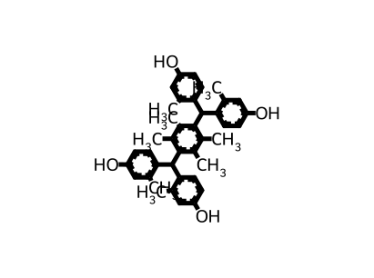 Cc1cc(O)ccc1C(c1ccc(O)cc1C)c1c(C)c(C)c(C(c2ccc(O)cc2C)c2ccc(O)cc2C)c(C)c1C